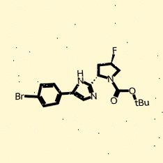 CC(C)(C)OC(=O)N1C[C@H](F)C[C@H]1c1ncc(-c2ccc(Br)cc2)[nH]1